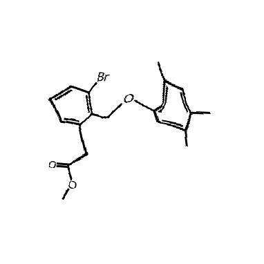 COC(=O)Cc1cccc(Br)c1COc1cc(C)c(C)cc1C